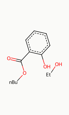 CCCCOC(=O)c1ccccc1O.CCO